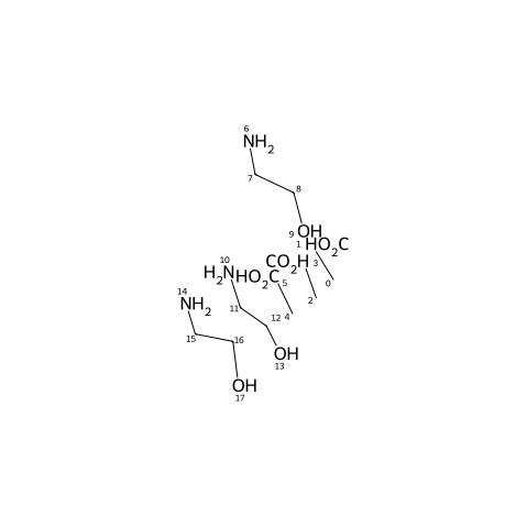 CC(=O)O.CC(=O)O.CC(=O)O.NCCO.NCCO.NCCO